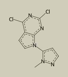 Cn1nccc1-n1ccc2c(Cl)nc(Cl)nc21